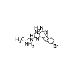 CC(N)CNc1cnc(C(N)=O)c(-c2cc3cc(Br)ccc3[nH]2)n1